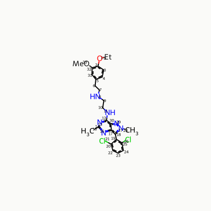 CCOc1ccc(CCNCCNc2nc(C)nc3c(-c4c(Cl)cccc4Cl)n(C)nc23)cc1OC